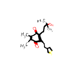 CC1=C(C)C(=O)C(CCC(C)(C)O)=C(CCc2ccsc2)C1=O